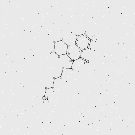 O=C(c1ccccc1)N(CCCCCCO)C1CCCCC1